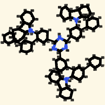 c1ccc(-c2cccc(-c3cc(-c4nc(-c5cccc(-c6cc(-c7ccccc7)ccc6-n6c7ccccc7c7ccccc76)c5)nc(-c5ccc(-c6ccccc6)c(-n6c7ccccc7c7ccccc76)c5)n4)ccc3-n3c4ccccc4c4ccccc43)c2)cc1